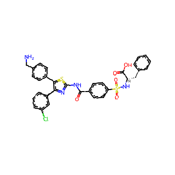 NCc1ccc(-c2sc(NC(=O)c3ccc(S(=O)(=O)N[C@@H](Cc4ccccc4)C(=O)O)cc3)nc2-c2cccc(Cl)c2)cc1